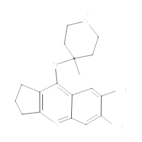 CC1(Nc2c3c(nc4cc(O)c(O)cc24)CCC3)CCNCC1